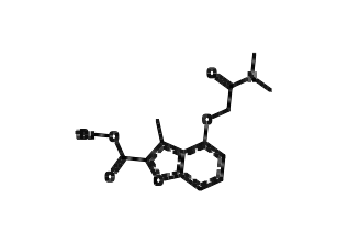 Cc1c(C(=O)OC(C)(C)C)oc2cccc(OCC(=O)N(C)C)c12